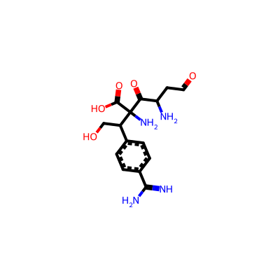 N=C(N)c1ccc(C(CO)C(N)(C(=O)O)C(=O)C(N)CC=O)cc1